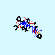 C=C[C@@H]1C[C@]1(NC(=O)[C@@H]1C[C@@]2(CN1C(=O)[C@@H](NC(=O)[C@@H](NC(=O)OC(CC)CC)C1CCCCC1)C(C)(C)C)C(C)(C)C21CCC1)C(=O)NS(=O)(=O)c1ccccc1NC